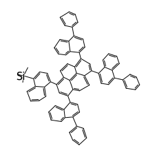 C[Si](C)(C)c1ccc(-c2cc(-c3ccc(-c4ccccc4)c4ccccc34)c3ccc4c(-c5ccc(-c6ccccc6)c6ccccc56)cc(-c5ccc(-c6ccccc6)c6ccccc56)c5ccc2c3c45)c2ccccc12